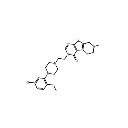 COc1ccc(Cl)cc1N1CCN(CCn2cnc3sc4c(c3c2=O)CCN(C)C4)CC1